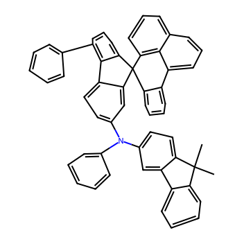 CC1(C)c2ccccc2-c2cc(N(c3ccccc3)c3ccc4c(c3)C3(c5ccccc5-c5cccc6cccc3c56)c3cccc(-c5ccccc5)c3-4)ccc21